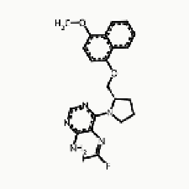 COc1ccc(OC[C@H]2CCCN2c2ncnc(N)c2/N=C(/F)I)c2ccccc12